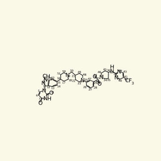 Cn1nc(-n2ccc(=O)[nH]c2=O)c2ccc(C3CCN(CC4CCN(c5cccc(S(=O)(=O)N6CCC(Nc7ncc(C(F)(F)F)cn7)CC6)c5)CC4)CC3)cc21